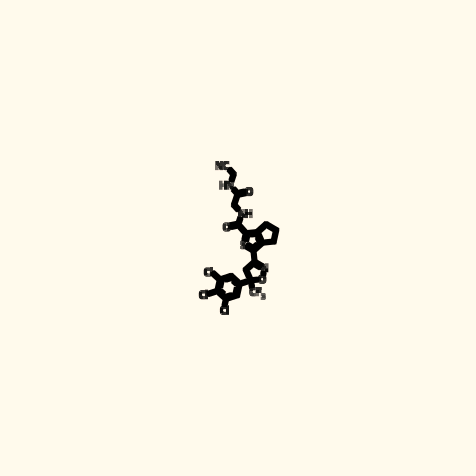 N#CCNC(=O)CNC(=O)c1sc(C2=NOC(c3cc(Cl)c(Cl)c(Cl)c3)(C(F)(F)F)C2)c2c1CCC2